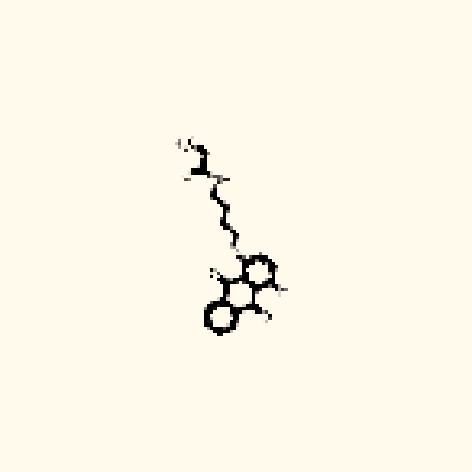 C=CC(=O)NCCCCOc1ccc(O)c2c1C(=O)c1ccccc1C2=O